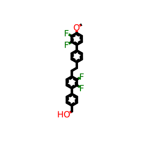 COc1ccc(-c2ccc(CCc3ccc(-c4ccc(CO)cc4)c(F)c3F)cc2)c(F)c1F